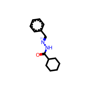 O=C(N/N=C/c1ccccc1)C1CCCCC1